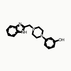 Oc1cccc(N2CCN(Cc3nc4ccccc4[nH]3)CC2)c1